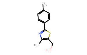 BCc1sc(-c2ccc(C(F)(F)F)cc2)nc1C